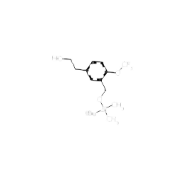 CC(C)(C)[Si](C)(C)OCc1cc(CCO)ccc1OC(F)(F)F